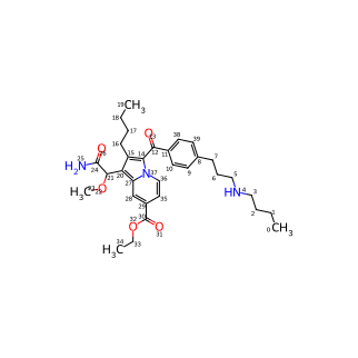 CCCCNCCCc1ccc(C(=O)c2c(CCCC)c(C(OC)C(N)=O)c3cc(C(=O)OCC)ccn23)cc1